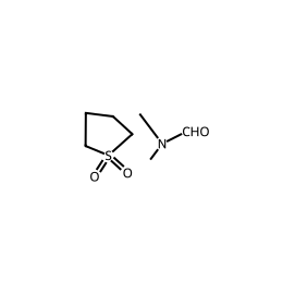 CN(C)C=O.O=S1(=O)CCCC1